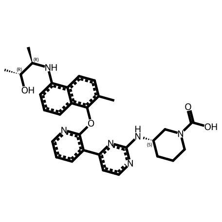 Cc1ccc2c(N[C@H](C)[C@@H](C)O)cccc2c1Oc1ncccc1-c1ccnc(N[C@H]2CCCN(C(=O)O)C2)n1